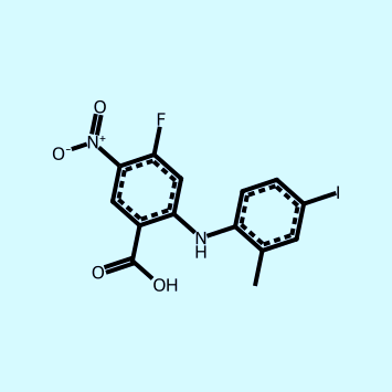 Cc1cc(I)ccc1Nc1cc(F)c([N+](=O)[O-])cc1C(=O)O